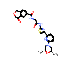 C[C@@H]1CN(c2cccc(-c3csc(NC(=O)CNC(=O)c4ccc5c(c4)C(=O)COC5)n3)n2)C[C@H](C)O1